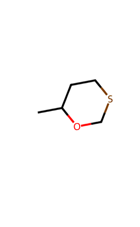 CC1CCSCO1